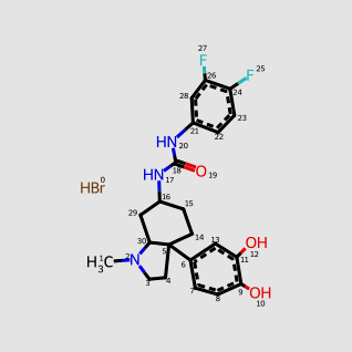 Br.CN1CCC2(c3ccc(O)c(O)c3)CCC(NC(=O)Nc3ccc(F)c(F)c3)CC12